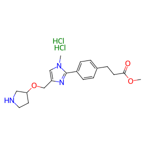 COC(=O)CCc1ccc(-c2nc(COC3CCNC3)cn2C)cc1.Cl.Cl